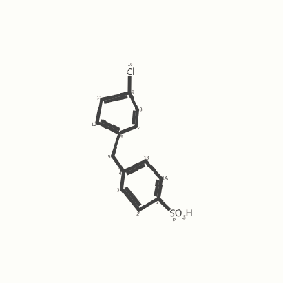 O=S(=O)(O)c1ccc(Cc2ccc(Cl)cc2)cc1